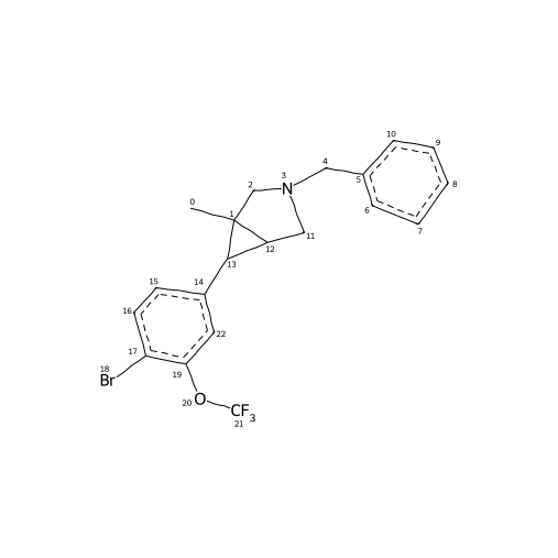 CC12CN(Cc3ccccc3)CC1C2c1ccc(Br)c(OC(F)(F)F)c1